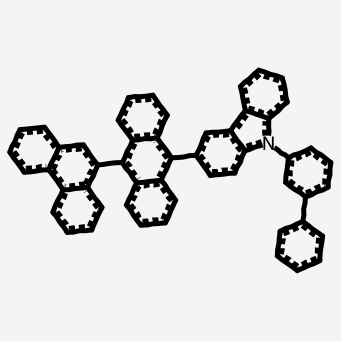 c1ccc(-c2cccc(-n3c4ccccc4c4cc(-c5c6ccccc6c(-c6cc7ccccc7c7ccccc67)c6ccccc56)ccc43)c2)cc1